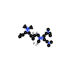 Cc1cc(C)cc(-c2nc(-c3cc(C)cc(C)c3)nc(-n3c4ccc(-c5ccc6c(c5)C(C)(C)c5ccccc5-6)cc4c4cc(-c5ccc6c7ccccc7c7cc(-c8cc(-c9nc(-c%10ccc(C(F)(F)F)cc%10)nc(-n%10c%11ccc(-c%12ccc(N(c%13ccccc%13)c%13ccccc%13)cc%12)cc%11c%11cc(-c%12ccc%13c(c%12)c%12c%14ccccc%14ccc%12n%13-c%12ccccc%12)ccc%11%10)n9)ccc8C(F)(F)F)ccc7c6c5)ccc43)n2)c1